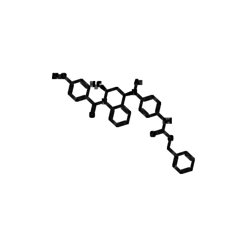 COc1ccc(C(=O)N2c3ccccc3[C@H](N(C(C)=O)c3ccc(NC(=O)OCc4ccccc4)cc3)C[C@@H]2C)cc1